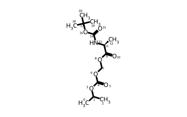 CC(C)OC(=O)OCOC(=O)[C@H](C)NC(=O)OC(C)(C)C